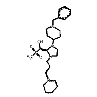 CS(=O)(=O)C(C#N)=C1N(CCCN2CCCCC2)CCN1C1CCN(Cc2ccccc2)CC1